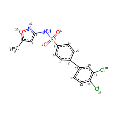 Cc1cc(NS(=O)(=O)c2ccc(-c3ccc(Cl)c(Cl)c3)cc2)no1